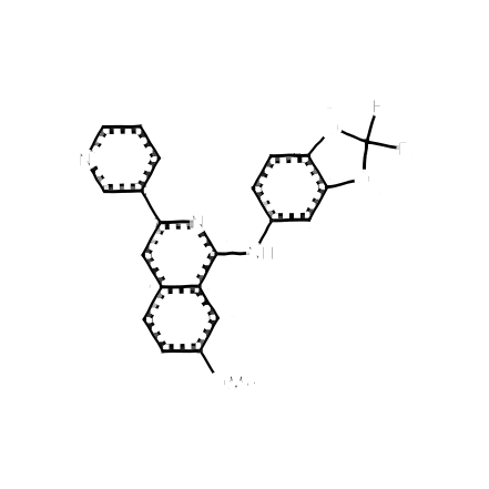 COc1ccc2cc(-c3cccnc3)nc(Nc3ccc4c(c3)OC(F)(F)O4)c2c1